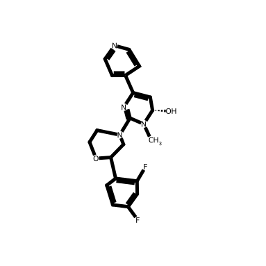 CN1C(N2CCOC(c3ccc(F)cc3F)C2)=NC(c2ccncc2)=C[C@@H]1O